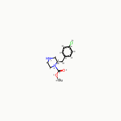 CC(C)(C)OC(=O)N1CCNC[C@H]1Cc1ccc(Cl)cc1